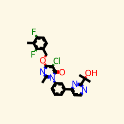 Cc1c(F)ccc(COc2nc(C)n(-c3cccc(-c4ccnc(C(C)(C)O)n4)c3)c(=O)c2Cl)c1F